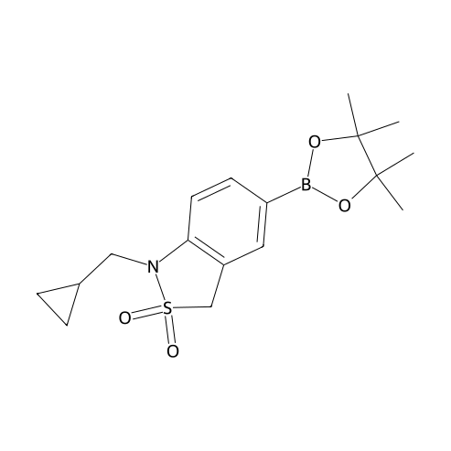 CC1(C)OB(c2ccc3c(c2)CS(=O)(=O)N3CC2CC2)OC1(C)C